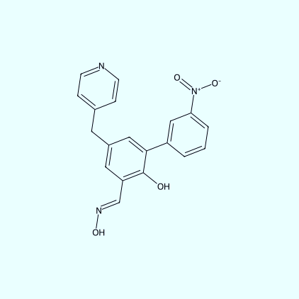 O=[N+]([O-])c1cccc(-c2cc(Cc3ccncc3)cc(C=NO)c2O)c1